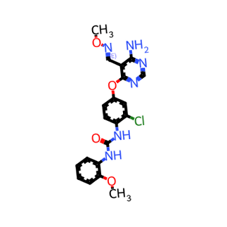 CO/N=C/c1c(N)ncnc1Oc1ccc(NC(=O)Nc2ccccc2OC)c(Cl)c1